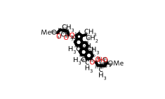 C=C(C)C1CC[C@]2(COC(=O)CC(C)(C)CC(=O)OC)CC[C@]3(C)C(CCC4[C@@]5(C)CC[C@H](OC(=O)CC(C)(C)CC(O)OC)C(C)(C)C5CC[C@]43C)C12